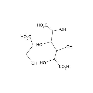 O=C(O)C(O)C(O)C(O)C(O)C(=O)O.O=C(O)CCO